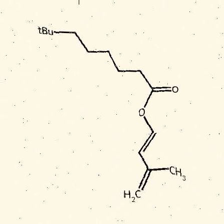 C=C(C)C=COC(=O)CCCCCC(C)(C)C